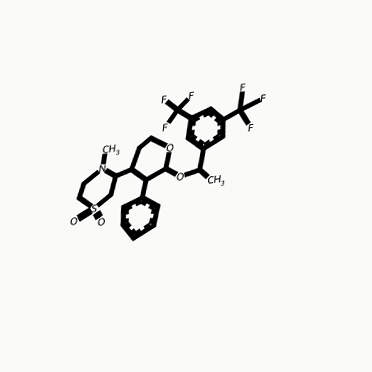 CC(OC1OCCC(C2CS(=O)(=O)CCN2C)C1c1ccccc1)c1cc(C(F)(F)F)cc(C(F)(F)F)c1